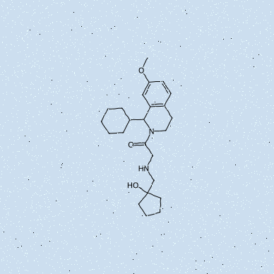 COc1ccc2c(c1)C(C1CCCCC1)N(C(=O)CNCC1(O)CCCC1)CC2